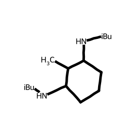 CCC(C)NC1CCCC(NC(C)CC)C1C